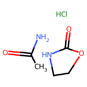 CC(N)=O.Cl.O=C1NCCO1